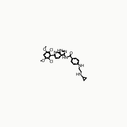 COc1cc(OC)c(Cl)c(-c2ccc3c(NC(=O)c4ccc(NCCNC5CC5)cc4)n[nH]c3n2)c1Cl